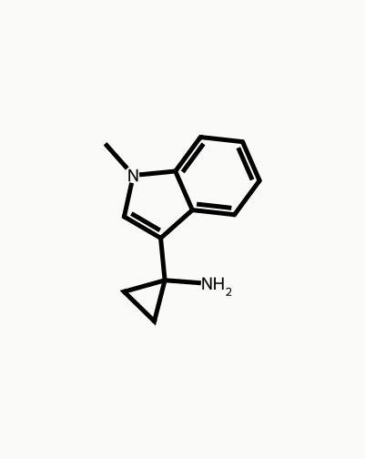 Cn1cc(C2(N)CC2)c2ccccc21